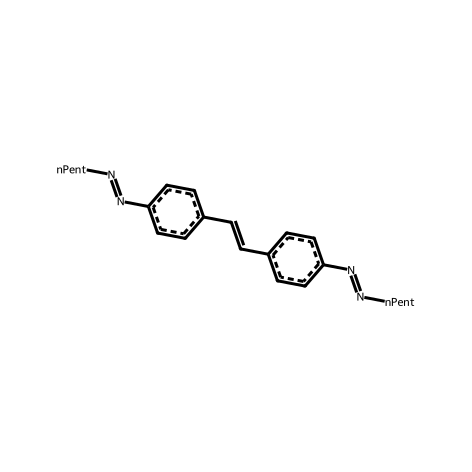 CCCCCN=Nc1ccc(C=Cc2ccc(N=NCCCCC)cc2)cc1